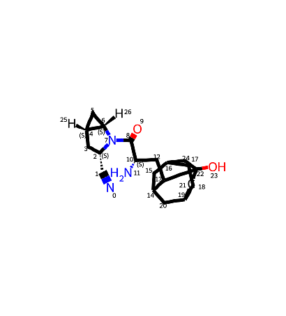 N#C[C@@H]1C[C@@H]2C[C@@H]2N1C(=O)[C@@H](N)CC1C2CC3CCC(C2)CC1(O)C3